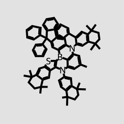 Cc1cc2c3c(c1)N(c1ccc4c(c1)C(C)(C)CCC4(C)C)c1c(sc4cc5c(cc14)C(C)(C)CCC5(C)C)B3c1cc3c(cc1N2c1cc2c(cc1-c1ccccc1)C(C)(C)CCC2(C)C)-c1ccccc1C3(c1ccccc1)c1ccccc1